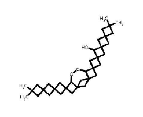 CC1(C)CC2(C1)CC1(C2)CC2(C1)CC13CC4(CC5(CC6(CC7(CC8(CC(C)(C)C8)C7)C6O)C5)C4OOC21)C3